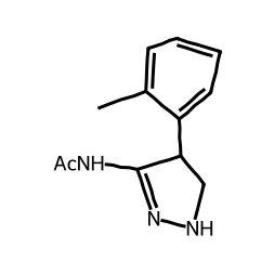 CC(=O)NC1=NNCC1c1ccccc1C